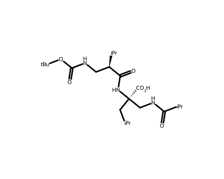 CC(C)C[C@](CNC(=O)C(C)C)(NC(=O)[C@@H](CNC(=O)OC(C)(C)C)C(C)C)C(=O)O